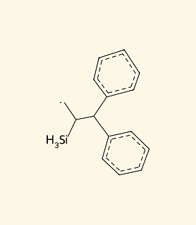 [CH2]C([SiH3])C(c1ccccc1)c1ccccc1